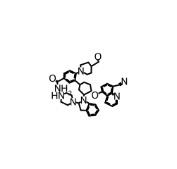 N#Cc1ccc(OC2CCC(c3cc(C(N)=O)ccc3N3CCC(C=O)CC3)CC2N2c3ccccc3CC2N2CCNCC2)c2cccnc12